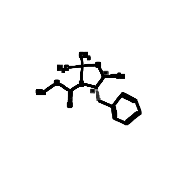 CC(=O)[C@@H]1OC(C)(C)N(C(=O)OC(C)(C)C)[C@H]1Cc1ccccc1